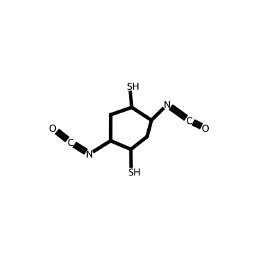 O=C=NC1CC(S)C(N=C=O)CC1S